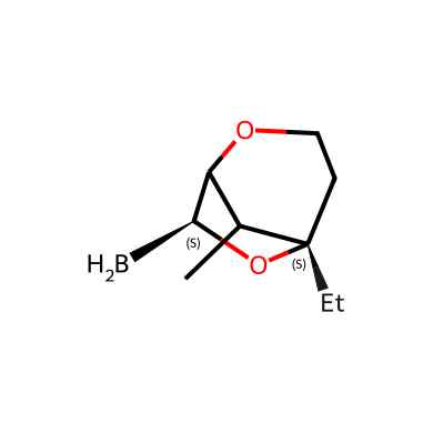 B[C@@H]1O[C@@]2(CC)CCOC1C2C